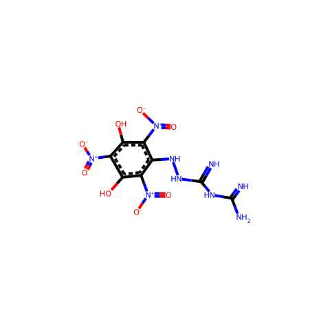 N=C(N)NC(=N)NNc1c([N+](=O)[O-])c(O)c([N+](=O)[O-])c(O)c1[N+](=O)[O-]